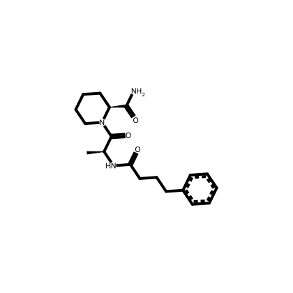 C[C@H](NC(=O)CCCc1ccccc1)C(=O)N1CCCC[C@H]1C(N)=O